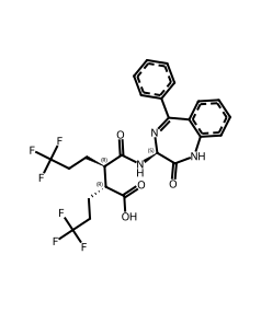 O=C1Nc2ccccc2C(c2ccccc2)=N[C@@H]1NC(=O)[C@H](CCC(F)(F)F)[C@@H](CCC(F)(F)F)C(=O)O